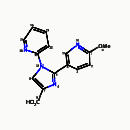 COc1ccc(-c2nc(C(=O)O)cn2-c2ccccn2)cn1